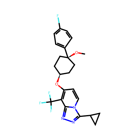 CO[C@]1(c2ccc(F)cc2)CC[C@H](Oc2ccn3c(C4CC4)nnc3c2C(F)(F)F)CC1